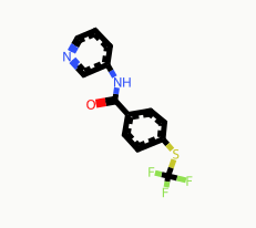 O=C(Nc1cccnc1)c1ccc(SC(F)(F)F)cc1